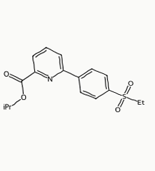 CCS(=O)(=O)c1ccc(-c2cccc(C(=O)OC(C)C)n2)cc1